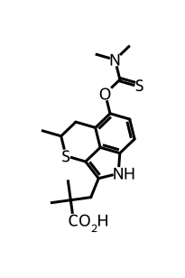 CC1Cc2c(OC(=S)N(C)C)ccc3[nH]c(CC(C)(C)C(=O)O)c(c23)S1